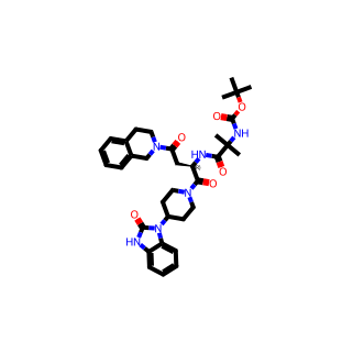 CC(C)(C)OC(=O)NC(C)(C)C(=O)N[C@H](CC(=O)N1CCc2ccccc2C1)C(=O)N1CCC(n2c(=O)[nH]c3ccccc32)CC1